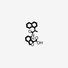 CC(C(=O)Nc1cccc2coc(C(=O)O)c12)c1cccc2ccccc12